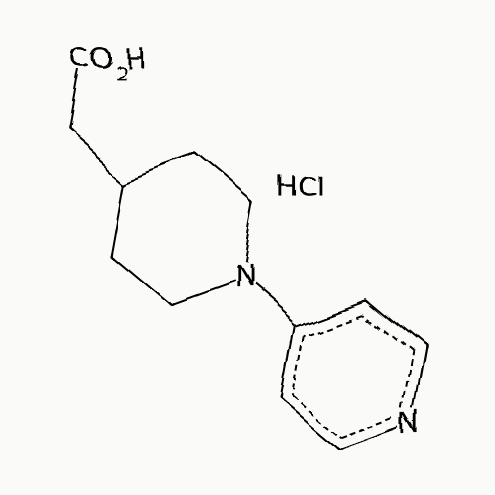 Cl.O=C(O)CC1CCN(c2ccncc2)CC1